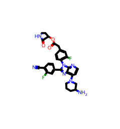 N#Cc1ccc(-c2nc3c(N4CCCC(N)C4)ccnc3n2-c2ccc(CC(=O)OC3CCNC3=O)cc2F)cc1F